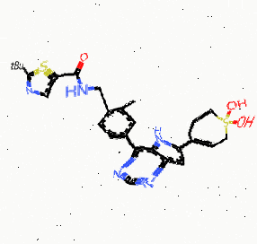 Cc1cc(-c2ncnc3cc(C4=CCS(O)(O)CC4)[nH]c23)ccc1CNC(=O)c1cnc(C(C)(C)C)s1